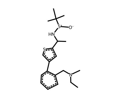 CCN(C)Cc1ccccc1-c1csc(C(C)N[S+]([O-])C(C)(C)C)c1